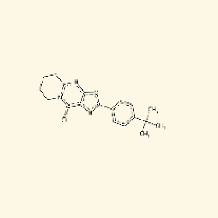 CC(C)(C)c1ccc(-c2nc3c(=O)n4c(nc3o2)CCCC4)cc1